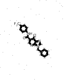 O=C(Nc1ccc(C(F)(F)F)cc1)c1cnc2c(ncn2Cc2ccccc2)c1Cl